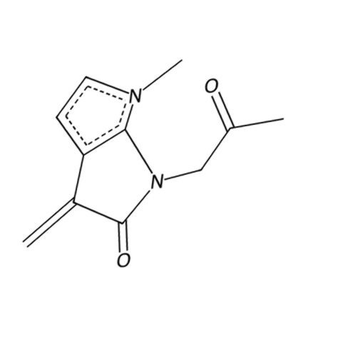 C=C1C(=O)N(CC(C)=O)c2c1ccn2C